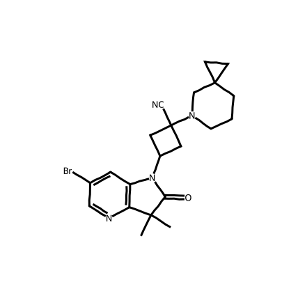 CC1(C)C(=O)N(C2CC(C#N)(N3CCCC4(CC4)C3)C2)c2cc(Br)cnc21